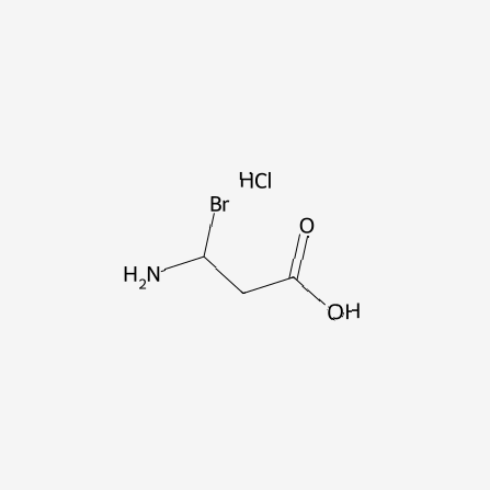 Cl.NC(Br)CC(=O)O